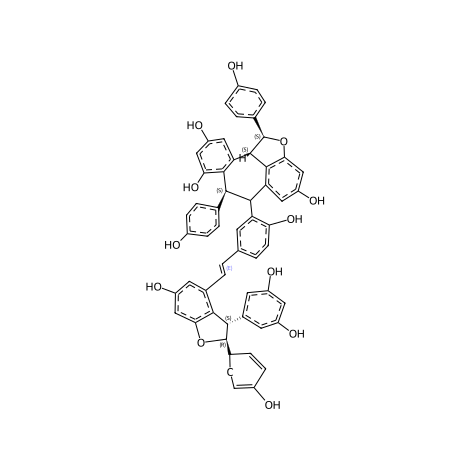 OC1=CCC([C@H]2Oc3cc(O)cc(/C=C/c4ccc(O)c(C5c6cc(O)cc7c6[C@H](c6cc(O)cc(O)c6[C@@H]5c5ccc(O)cc5)[C@@H](c5ccc(O)cc5)O7)c4)c3[C@@H]2c2cc(O)cc(O)c2)C=C1